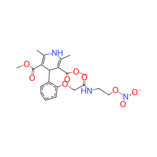 COC(=O)C1=C(C)NC(C)=C(C(=O)OC)C1c1ccccc1OCC(=O)NCCO[N+](=O)[O-]